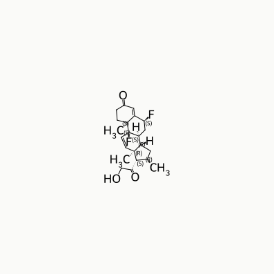 C[C@@H]1C[C@H]2[C@@H]3C[C@H](F)C4=CC(=O)CC[C@]4(C)[C@@]3(F)C=C[C@]2(C)[C@H]1C(=O)CO